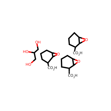 O=C(O)C1CCCC2OC21.O=C(O)C1CCCC2OC21.O=C(O)C1CCCC2OC21.OCC(O)CO